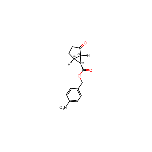 O=C1CC[C@@H]2[C@H]1[C@H]2C(=O)OCc1ccc([N+](=O)[O-])cc1